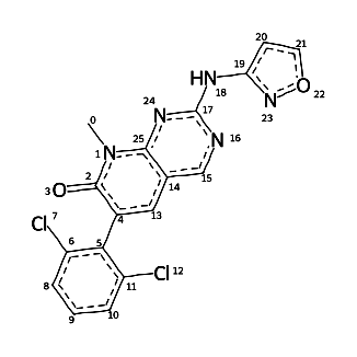 Cn1c(=O)c(-c2c(Cl)cccc2Cl)cc2cnc(Nc3ccon3)nc21